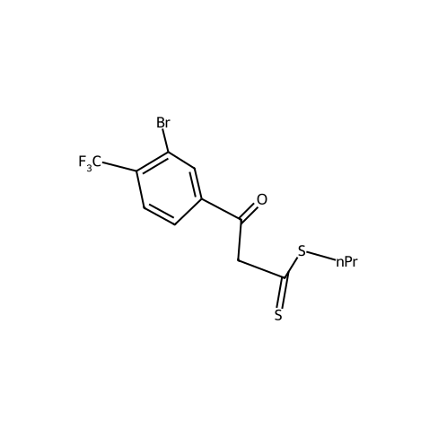 CCCSC(=S)CC(=O)c1ccc(C(F)(F)F)c(Br)c1